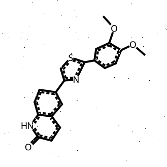 COc1ccc(-c2nc(-c3ccc4[nH]c(=O)ccc4c3)cs2)cc1OC